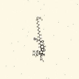 CCCCCCCCCCCCCC(CBr)C(=O)Cc1ccc2oc3c(c2c1)C1(C)C[C@@H]3C(C)C1C